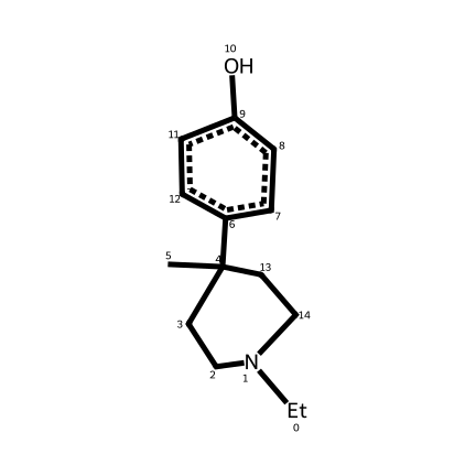 CCN1CCC(C)(c2ccc(O)cc2)CC1